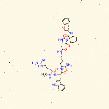 CN[C@@H](CCCNC(=N)N)C(=O)N[C@@H](Cc1c[nH]c2ccccc12)C(=O)N[C@@H](CCCCNC(=O)C[C@@H]1NC(=O)N(C2(C(=O)N[C@@H](C=O)Cc3ccccc3)CCCCC2)C1=O)C(N)=O